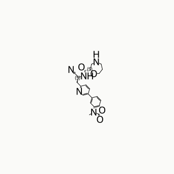 Cn1c(=O)oc2ccc(-c3ccc(C[C@@H](C#N)NC(=O)[C@@H]4CNCCCO4)nc3)cc21